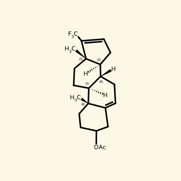 CC(=O)OC1CC[C@@]2(C)C(=CC[C@@H]3[C@@H]2CC[C@]2(C)C(C(F)(F)F)=CC[C@@H]32)C1